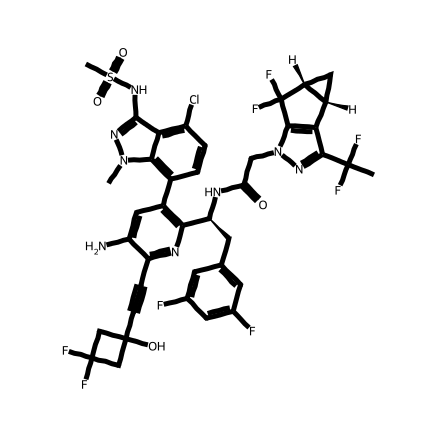 Cn1nc(NS(C)(=O)=O)c2c(Cl)ccc(-c3cc(N)c(C#CC4(O)CC(F)(F)C4)nc3[C@H](Cc3cc(F)cc(F)c3)NC(=O)Cn3nc(C(C)(F)F)c4c3C(F)(F)[C@@H]3C[C@H]43)c21